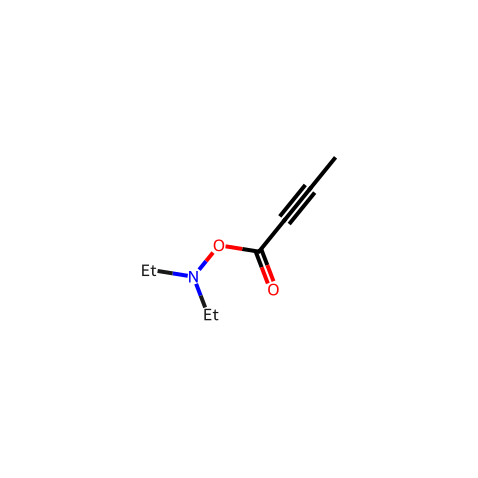 CC#CC(=O)ON(CC)CC